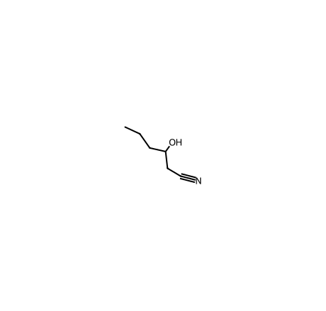 CCCC(O)CC#N